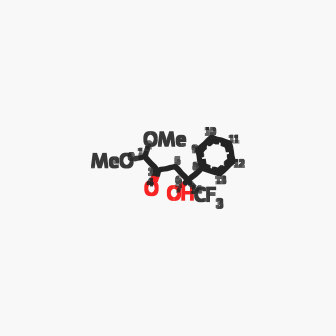 COC(OC)C(=O)CC(O)(c1ccccc1)C(F)(F)F